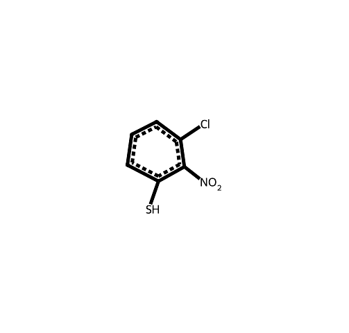 O=[N+]([O-])c1c(S)cccc1Cl